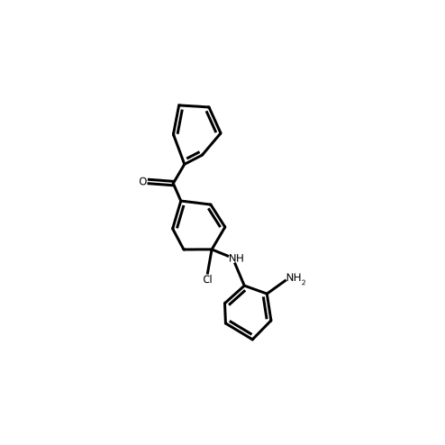 Nc1ccccc1NC1(Cl)C=CC(C(=O)c2ccccc2)=CC1